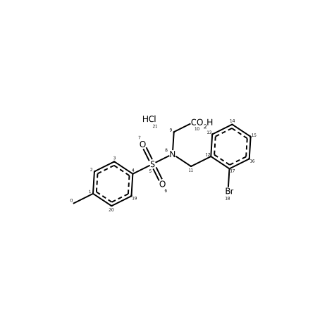 Cc1ccc(S(=O)(=O)N(CC(=O)O)Cc2ccccc2Br)cc1.Cl